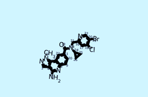 Cn1ncc2c(N)nc3ccc(C(=O)N(Cc4cc(Cl)c(Br)cn4)C4CC4)cc3c21